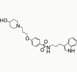 O=S(=O)(NCCCc1c[nH]c2ccccc12)c1ccc(OCCCN2CCC(O)CC2)cc1